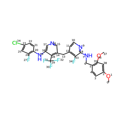 COc1ccc(CNc2nccc(Cc3cncc(Nc4ccc(Cl)cc4F)c3C(F)(F)F)c2F)c(OC)c1